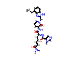 CC(C)Cc1cccc2[nH]c(Cn3cccc(NC(=O)[C@H](CC/C=C/C(=O)N(C)C)NC(=O)c4cncn4C)c3=O)nc12